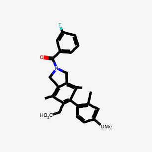 COc1ccc(-c2c(C)c3c(c(C)c2CC(=O)O)CN(C(=O)c2cccc(F)c2)C3)c(C)c1